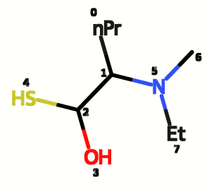 CCCC(C(O)S)N(C)CC